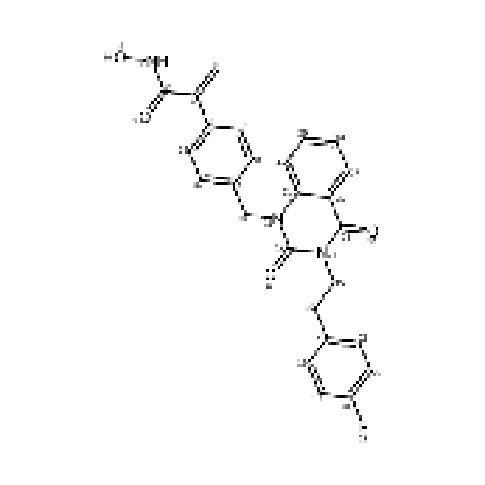 C=C(C(=O)NO)c1ccc(Cn2c(=O)n(CCc3ccc(F)cc3)c(=O)c3ccccc32)cc1